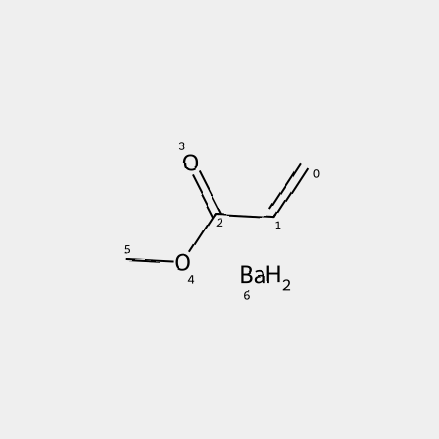 C=CC(=O)OC.[BaH2]